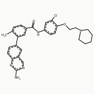 Cc1ccc(C(=O)Nc2ccc(OCCN3CCCCC3)c(Cl)c2)cc1-c1ccc2nc(N)ncc2c1